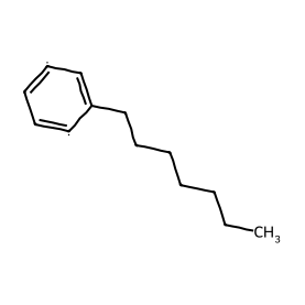 CCCCCCCc1[c]cc[c]c1